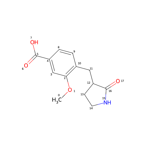 COc1cc(C(=O)O)ccc1CC1CCNC1=O